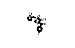 CCN1CCCC1Cn1cnc(C(=N)c2ccc(F)cc2)c(S)c1=O